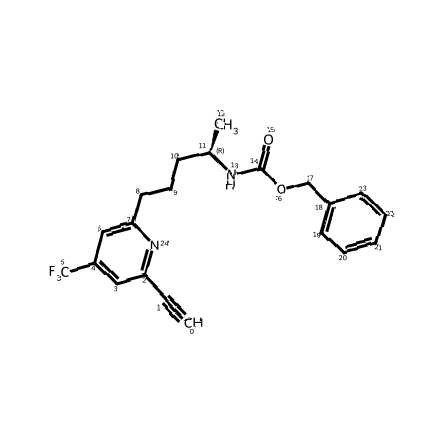 C#Cc1cc(C(F)(F)F)cc(CCC[C@@H](C)NC(=O)OCc2ccccc2)n1